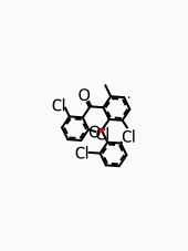 Cc1[c]cc(C)c(C(=O)c2c(Cl)cccc2Cl)c1C(=O)c1c(Cl)cccc1Cl